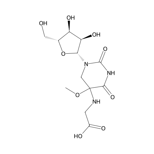 COC1(NCC(=O)O)CN([C@@H]2O[C@H](CO)[C@@H](O)[C@H]2O)C(=O)NC1=O